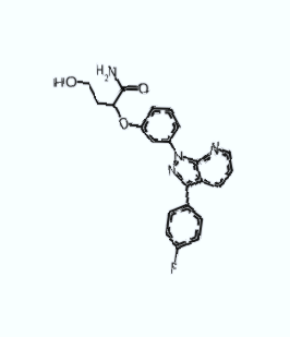 NC(=O)C(CCO)Oc1cccc(-n2nc(-c3ccc(F)cc3)c3cccnc32)c1